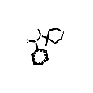 CN([S+]([O-])c1ccccc1)C1(C)CCNCC1